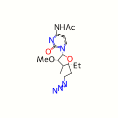 CC[C@@]1(CCN=[N+]=[N-])O[C@@H](n2ccc(NC(C)=O)nc2=O)[C@@H](OC)C1C